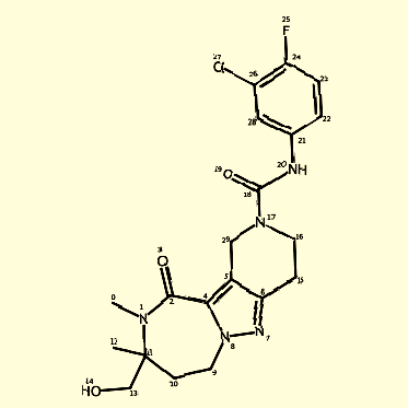 CN1C(=O)c2c3c(nn2CCC1(C)CO)CCN(C(=O)Nc1ccc(F)c(Cl)c1)C3